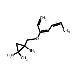 C=C/C(=C\C=C/C)OCC1(N)CC1(C)N